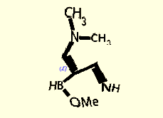 COB/C(C=N)=C/N(C)C